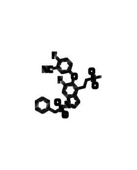 CS(=O)(=O)CCc1c(Oc2ccc(F)c(C#N)c2)c(F)cc2c1ccn2S(=O)(=O)Cc1ccccc1